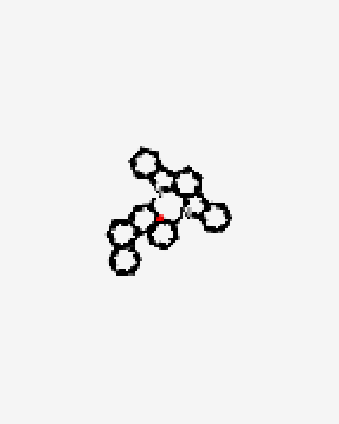 c1ccc(-n2c3ccccc3c3ccc4c5ccccc5n(-c5ccc6c(ccc7ccccc76)c5)c4c32)cc1